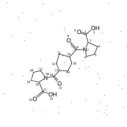 O=C(O)C1CCCN1C(=O)C1CCC(C(=O)N2CCCC2C(=O)O)CC1